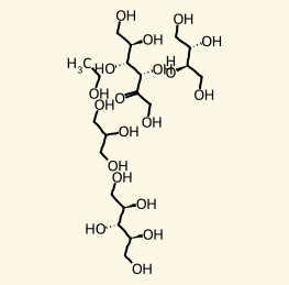 CCO.O=C(CO)[C@@H](O)[C@H](O)[C@H](O)CO.OCC(O)CO.OC[C@@H](O)[C@@H](O)CO.OC[C@@H](O)[C@@H](O)[C@@H](O)CO